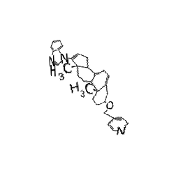 C[C@]12CC[C@H](OCc3ccncc3)CC1=CCC1C2CC[C@]2(C)C(n3cnc4ccccc43)=CCC12